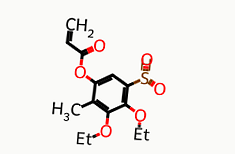 C=CC(=O)Oc1cc([SH](=O)=O)c(OCC)c(OCC)c1C